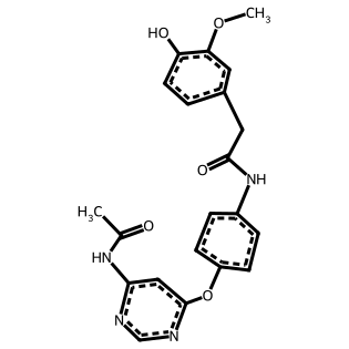 COc1cc(CC(=O)Nc2ccc(Oc3cc(NC(C)=O)ncn3)cc2)ccc1O